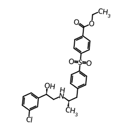 CCOC(=O)c1ccc(S(=O)(=O)c2ccc(C[C@@H](C)NC[C@H](O)c3cccc(Cl)c3)cc2)cc1